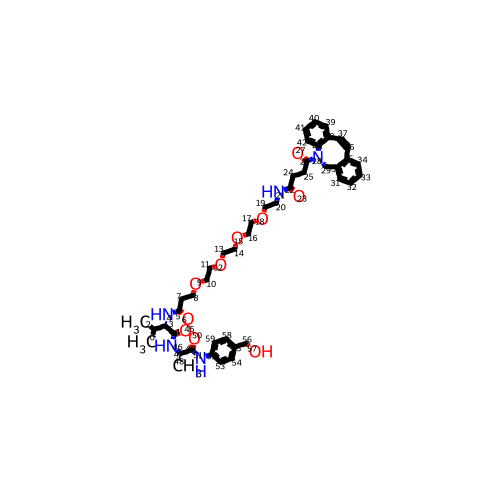 CC(C)[C@H](NC(=O)CCOCCOCCOCCOCCNC(=O)CCC(=O)N1Cc2ccccc2C#Cc2ccccc21)C(=O)N[C@@H](C)C(=O)Nc1ccc(CO)cc1